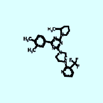 Cc1ccc(-c2nc(N3CCN(c4ncccc4C(F)(F)F)CC3)nc(N3CCCCC3C)n2)cc1C